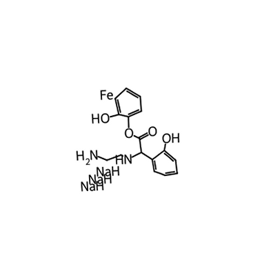 NCCNC(C(=O)Oc1ccccc1O)c1ccccc1O.[Fe].[NaH].[NaH].[NaH]